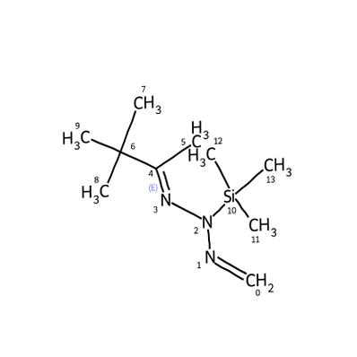 C=NN(/N=C(\C)C(C)(C)C)[Si](C)(C)C